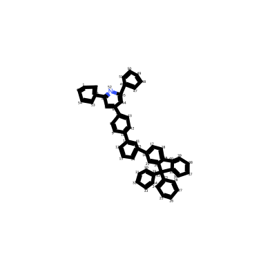 c1ccc(-c2cc(-c3ccc(-c4cccc(-c5ccc6c(c5)C(c5ccccc5)(c5ccccc5)c5ccccc5-6)c4)cc3)cc(-c3ccccc3)n2)cc1